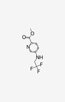 COC(=O)c1ccc(NCC(F)(F)F)cn1